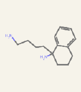 NCCCCC1(N)CCCc2ccccc21